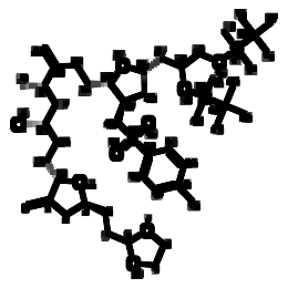 C=C1C[C@H](CCC2OCCO2)O[C@H]1CC[C@H](Cl)C[C@H](C)C(=C)CC[C@@H]1O[C@H](CC(CO[Si](C)(C)C(C)(C)C)O[Si](C)(C)C(C)(C)C)C[C@H]1CS(=O)(=O)c1ccc(C)cc1